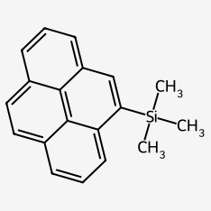 C[Si](C)(C)c1cc2cccc3ccc4cccc1c4c32